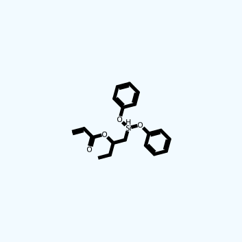 C=CC(=O)OC(CC)C[SiH](Oc1ccccc1)Oc1ccccc1